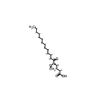 CCCCCCCCCCCCCC(=O)N(CCCC(=O)O)OC